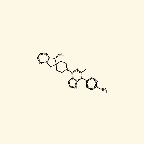 Cc1nc(N2CCC3(CC2)Cc2ncccc2[C@H]3N)c2ccnn2c1-c1ccc(N)nc1